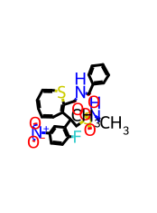 CNS(=O)(=O)C[C@](C)(c1cc([N+](=O)[O-])ccc1F)c1ccccccsc1C(=O)NC(=O)c1ccccc1